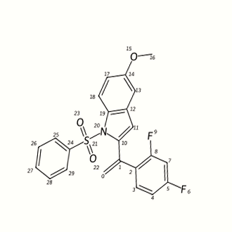 C=C(c1ccc(F)cc1F)c1cc2cc(OC)ccc2n1S(=O)(=O)c1ccccc1